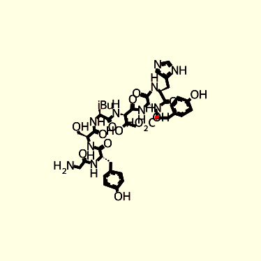 CCC(C)[C@H](NC(=O)[C@H](CO)NC(=O)[C@H](Cc1ccc(O)cc1)NC(=O)CN)C(=O)N[C@H](C(=O)N[C@@H](CO)C(=O)N[C@@H](Cc1cnc[nH]1)C(=O)N[C@@H](Cc1ccc(O)cc1)C(=O)O)C(C)O